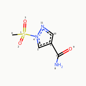 CS(=O)(=O)n1cc(C(N)=O)cn1